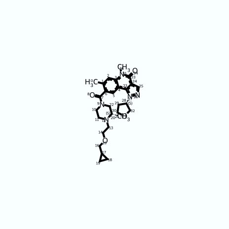 Cc1cc2c(cc1C(=O)N1CCN(CCOCC3CC3)[C@@H](C)C1)c1c(cnn1[C@H]1CCOC1)c(=O)n2C